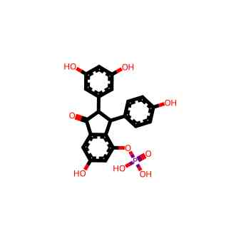 O=C1c2cc(O)cc(OP(=O)(O)O)c2C(c2ccc(O)cc2)C1c1cc(O)cc(O)c1